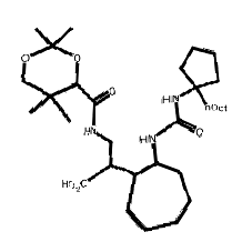 CCCCCCCCC1(NC(=O)NC2CCCCCC2C(CNC(=O)C2OC(C)(C)OCC2(C)C)C(=O)O)CCCC1